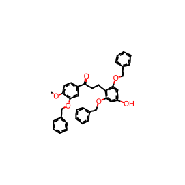 COc1ccc(C(=O)CCc2c(OCc3ccccc3)cc(O)cc2OCc2ccccc2)cc1OCc1ccccc1